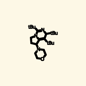 CC(C)(C)C1=NC(C(C)(C)C)C(C(C)(C)C)=C2C(N3CCOCC3)CCN12